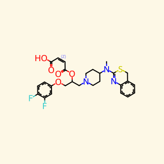 CN(C1=Nc2ccccc2CS1)C1CCN(CC(COc2ccc(F)c(F)c2)OC(=O)/C=C\C(=O)O)CC1